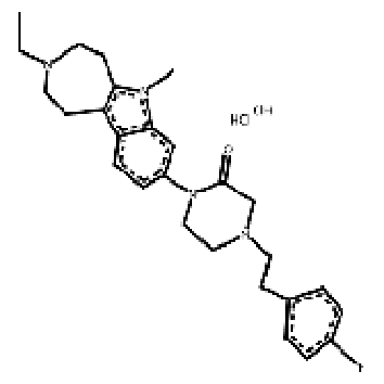 CCN1CCc2c(n(C)c3cc(N4CCN(CCc5ccc(F)cc5)CC4=O)ccc23)CC1.Cl.Cl